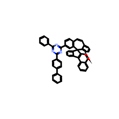 C1=Cc2ccc(-c3nc(-c4ccccc4)nc(-c4ccc(-c5ccccc5)cc4)n3)cc2C2(c3ccccc31)c1ccccc1-c1c2c2ccccc2c2ccccc12